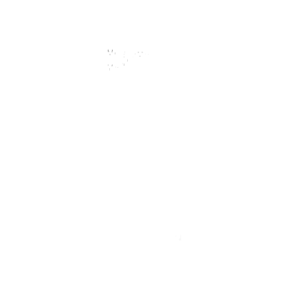 CO[Si](CCCCCCCCCCCCCCCCCCCCCCCCCS)(OC)OC